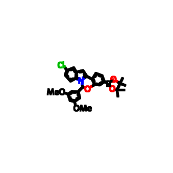 COc1cc(OC)cc(C2Oc3cc(B4OC(C)(C)C(C)(C)O4)ccc3-c3cc4cc(Cl)ccc4n32)c1